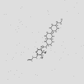 C=CCCc1ccc(OCC2CCC3CC(C4CCC(CCC)CC4)CCC3C2)c(F)c1F